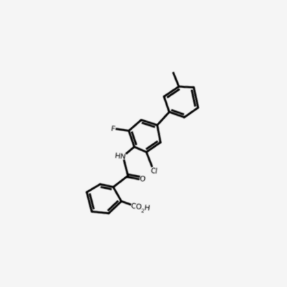 Cc1cccc(-c2cc(F)c(NC(=O)c3ccccc3C(=O)O)c(Cl)c2)c1